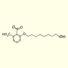 CCCCCCCCCCCCCCCCCCOc1cccc(C(=O)O)c1I(=O)=O